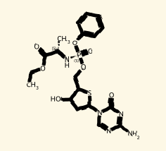 CCOC(=O)[C@H](C)N[P@](=O)(OCC1SC(n2cnc(N)nc2=O)CC1O)Oc1ccccc1